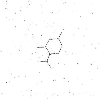 CC1CN(C)CCN1N(C)C